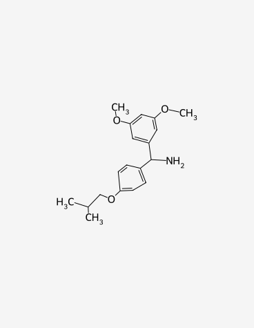 COc1cc(OC)cc(C(N)c2ccc(OCC(C)C)cc2)c1